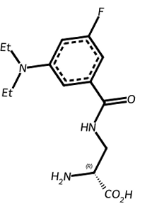 CCN(CC)c1cc(F)cc(C(=O)NC[C@@H](N)C(=O)O)c1